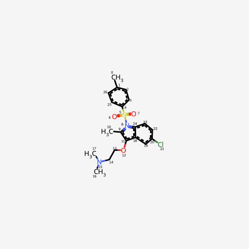 Cc1ccc(S(=O)(=O)n2c(C)c(OCCN(C)C)c3cc(Cl)ccc32)cc1